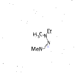 CCN(C)/N=C\NC